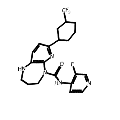 O=C(Nc1ccncc1F)N1CCCNc2ccc(C3CCCC(C(F)(F)F)C3)nc21